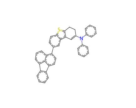 C1=C(N(c2ccccc2)c2ccccc2)CCc2sc3ccc(-c4ccc5c6c(cccc46)-c4ccccc4-5)cc3c21